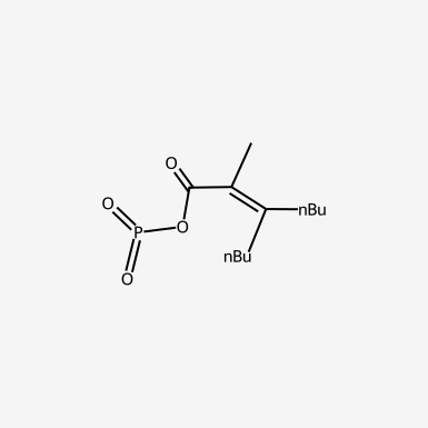 CCCCC(CCCC)=C(C)C(=O)OP(=O)=O